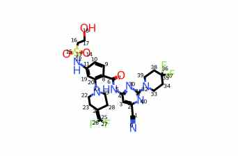 N#Cc1cc(NC(=O)c2ccc(NS(=O)(=O)CCO)cc2N2CCC(=C(F)F)CC2)nc(N2CCC(F)(F)CC2)n1